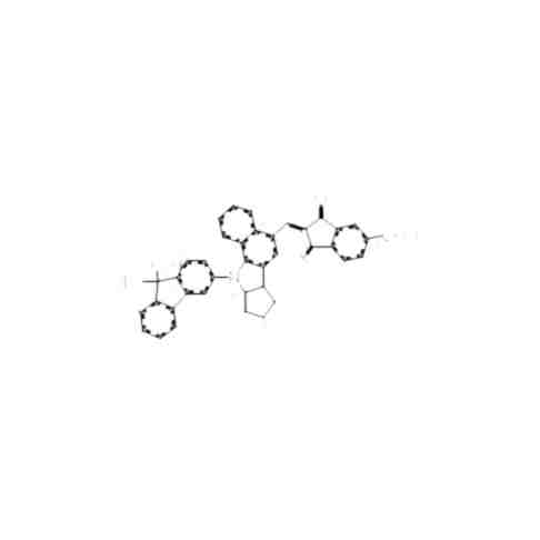 CCCCC1(CCCC)c2ccccc2-c2cc(N3c4c(cc(/C=C5\C(=O)c6ccc(C(=O)O)cc6C5=O)c5ccccc45)C4CCCC43)ccc21